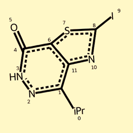 CC(C)c1n[nH]c(=O)c2sc(I)nc12